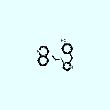 CCOn1ccnc1Cc1ccccc1.Cl.c1ccc2ncccc2c1